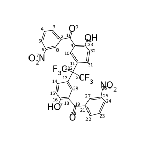 O=C(c1cccc([N+](=O)[O-])c1)c1cc(C(c2ccc(O)c(C(=O)c3cccc([N+](=O)[O-])c3)c2)(C(F)(F)F)C(F)(F)F)ccc1O